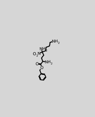 NCCCCC(N)(CCC(N)C(=O)OCc1ccccc1)[N+](=O)[O-]